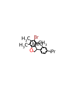 COc1cc(C(C)C)ccc1C1COc2c(C)c(C)c(Br)c(C)c21